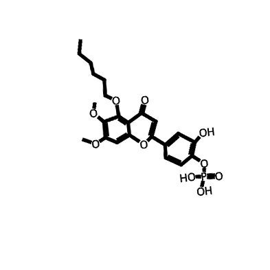 CCCCCCOc1c(OC)c(OC)cc2oc(-c3ccc(OP(=O)(O)O)c(O)c3)cc(=O)c12